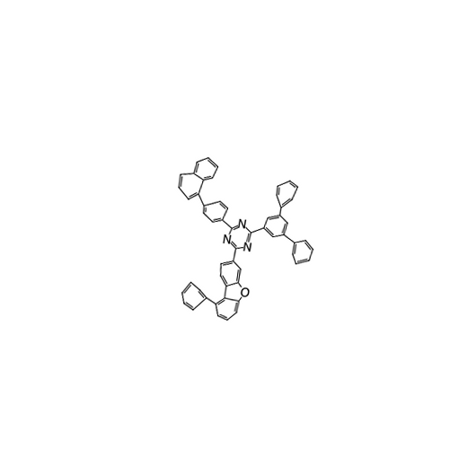 c1ccc(-c2cc(-c3ccccc3)cc(-c3nc(-c4ccc(-c5cccc6ccccc56)cc4)nc(-c4ccc5c(c4)oc4cccc(-c6ccccc6)c45)n3)c2)cc1